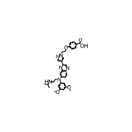 COc1cc(OC)cc(N(CCNC(C)C)c2ccc3ncc(-c4cnn(CCOc5ccc(C(=O)O)cc5)c4)nc3c2)c1